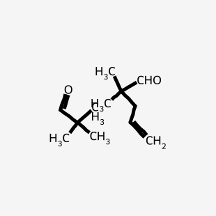 C=CCC(C)(C)C=O.CC(C)(C)C=O